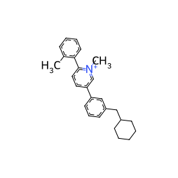 Cc1ccccc1-c1ccc(-c2cccc(CC3CCCCC3)c2)c[n+]1C